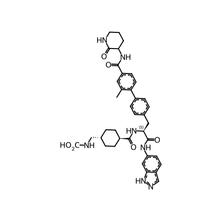 Cc1cc(C(=O)NC2CCCNC2=O)ccc1-c1ccc(C[C@H](NC(=O)[C@H]2CC[C@H](CNC(=O)O)CC2)C(=O)Nc2ccc3cn[nH]c3c2)cc1